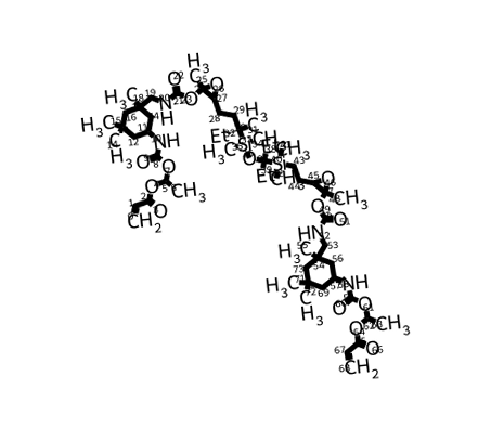 C=CC(=O)OC(C)OC(=O)NC1CC(C)(C)CC(C)(CNC(=O)OC2(C)OC2CC[C@](C)(CC)[Si](C)(C)OC(CC)(CC)[Si](C)(C)CCC2OC2(C)OC(=O)NCC2(C)CC(NC(=O)OC(C)OC(=O)C=C)CC(C)(C)C2)C1